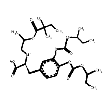 CCC(C)OC(=O)Oc1ccc(C[C@H](NCC(C)OC(=O)C(C)(C)CC)C(=O)O)cc1OC(=O)OC(C)CC